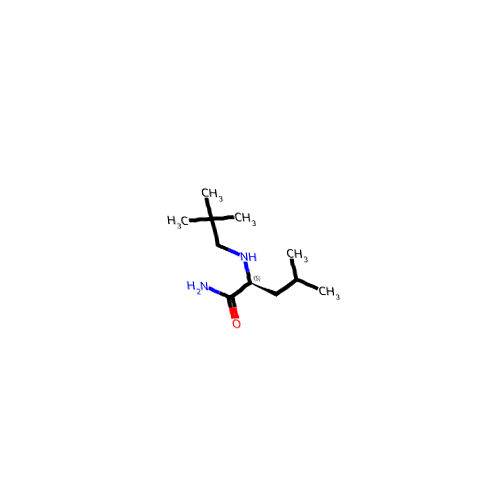 CC(C)C[C@H](NCC(C)(C)C)C(N)=O